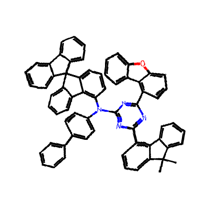 CC1(C)c2ccccc2-c2c(-c3nc(-c4cccc5oc6ccccc6c45)nc(N(c4ccc(-c5ccccc5)cc4)c4cccc5c4-c4ccccc4C54c5ccccc5-c5ccccc54)n3)cccc21